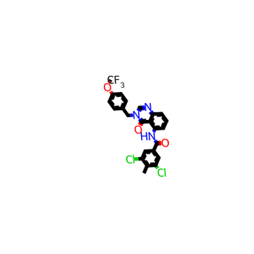 Cc1c(Cl)cc(C(=O)Nc2cccc3ncn(Cc4ccc(OC(F)(F)F)cc4)c(=O)c23)cc1Cl